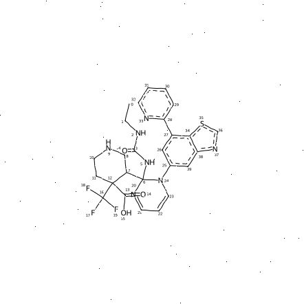 CCNC(=O)NC1(C2CNCCC2(C(=O)O)C(F)(F)F)N=CC=CN1c1cc(-c2ccccn2)c2scnc2c1